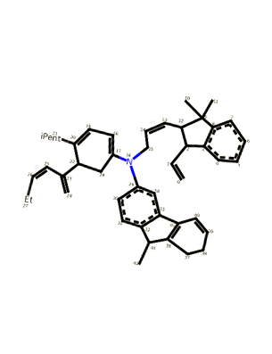 C=CC1c2ccccc2C(C)(C)C1/C=C\CN(C1=CC=C(C(C)CCC)C(C(=C)/C=C\CC)C1)c1ccc2c(c1)C1=C(CCC=C1)C2C